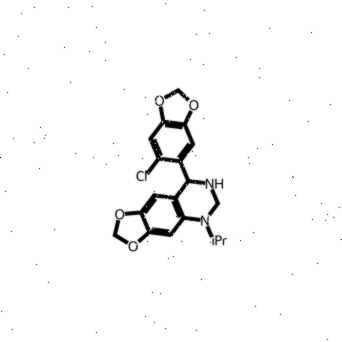 CC(C)N1CNC(c2cc3c(cc2Cl)OCO3)c2cc3c(cc21)OCO3